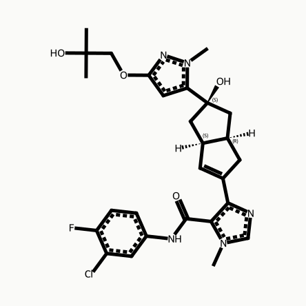 Cn1cnc(C2=C[C@H]3C[C@](O)(c4cc(OCC(C)(C)O)nn4C)C[C@H]3C2)c1C(=O)Nc1ccc(F)c(Cl)c1